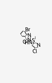 CCSC1(Nn2cnc3c(Br)cccc3c2=O)C=C(Cl)C=NC1